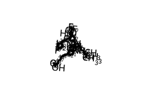 C[Si](C)(C)CCOCn1nc(-c2ccc(NS(=O)(=O)C(F)F)c(OCCc3ccc(F)cc3)c2)c(C(N)=O)c1Nc1ccc(C#CCCCCC(=O)O)cn1